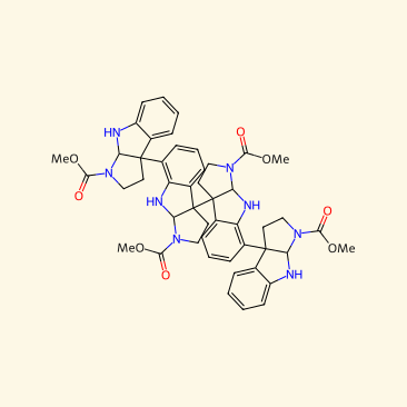 COC(=O)N1CCC2(c3cccc4c3NC3N(C(=O)OC)CCC43C34CCN(C(=O)OC)C3Nc3c(C56CCN(C(=O)OC)C5Nc5ccccc56)cccc34)c3ccccc3NC12